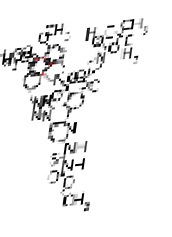 CCOC(=O)NC(=S)Nc1cccc(-c2ccc(S(=O)(=O)C3CN(C(=O)OC(C)(C)C)C3)c(S(=O)(=O)N(Cc3ccc(OC)cc3)Cc3ccc(OC)cc3)c2-c2nnn(Cc3ccc(OC)cc3)n2)n1